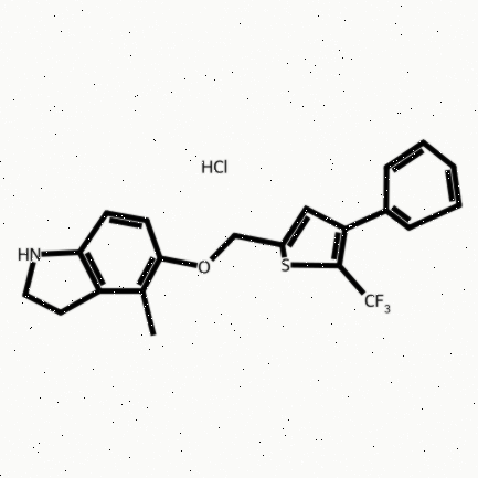 Cc1c(OCc2cc(-c3ccccc3)c(C(F)(F)F)s2)ccc2c1CCN2.Cl